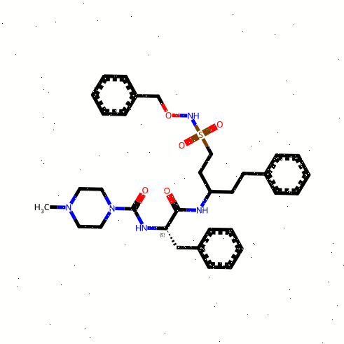 CN1CCN(C(=O)N[C@@H](Cc2ccccc2)C(=O)NC(CCc2ccccc2)CCS(=O)(=O)NOCc2ccccc2)CC1